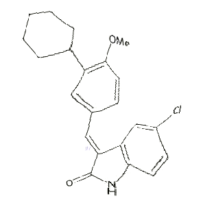 COc1ccc(/C=C2/C(=O)Nc3ccc(Cl)cc32)cc1C1CCCCC1